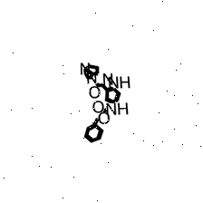 O=C(Nc1ccc2[nH]nc(C(=O)N3CCN4CCC3CC4)c2c1)OCc1ccccc1